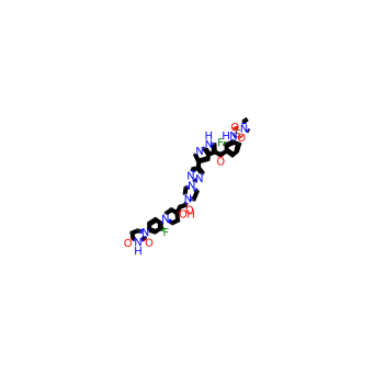 CCN(C)S(=O)(=O)Nc1cccc(C(=O)c2c[nH]c3ncc(-c4cnc(N5CCN(C(=O)CC6(O)CCN(c7ccc(N8CCC(=O)NC8=O)cc7F)CC6)CC5)nc4)cc23)c1F